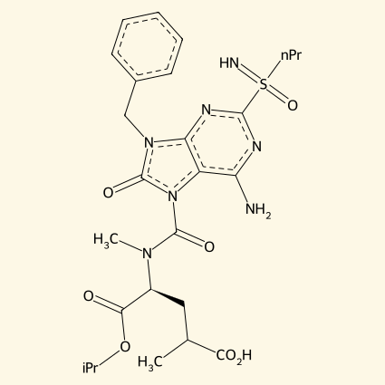 CCCS(=N)(=O)c1nc(N)c2c(n1)n(Cc1ccccc1)c(=O)n2C(=O)N(C)[C@@H](CC(C)C(=O)O)C(=O)OC(C)C